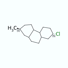 C[C@H]1CCC2C(CCC3C[C@@H](Cl)CCC32)C1